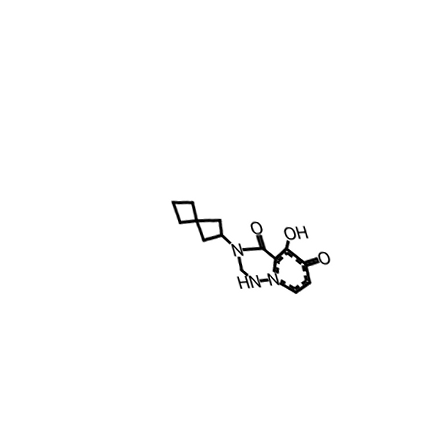 O=C1c2c(O)c(=O)ccn2NCN1C1CC2(CCC2)C1